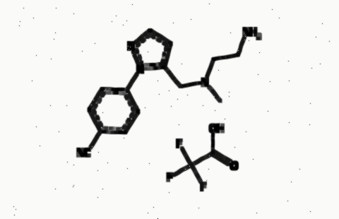 CN(CCN)Cc1ccnn1-c1ccc(C#N)cc1.O=C(O)C(F)(F)F